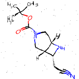 CC(C)(C)OC(=O)N1C[C@@H]2[C@H](C1)N[C@@H]2CC#N